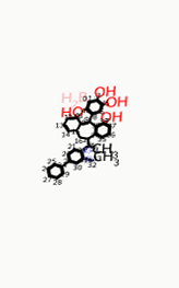 Bc1c(O)c(O)c(O)c(C2=C3C=CC=CC3CC(/C(C)=c3\ccc(-c4ccccc4)c\c3=C\C)c3ccccc32)c1O